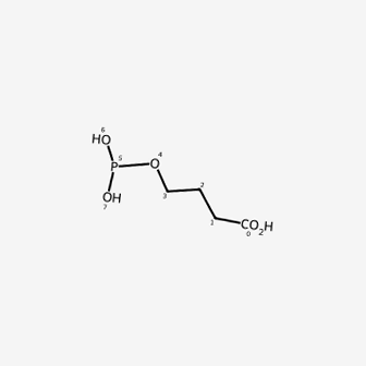 O=C(O)CCCOP(O)O